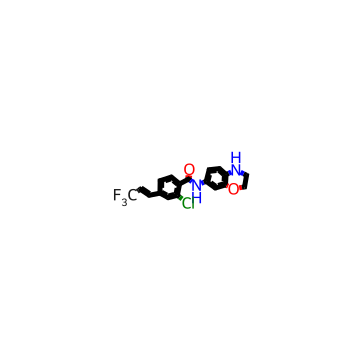 O=C(Nc1ccc2c(c1)OCCN2)c1ccc(C=CC(F)(F)F)cc1Cl